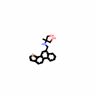 CC(CO)(CO)NCc1cc2c(ccc3ccsc32)c2ccccc12